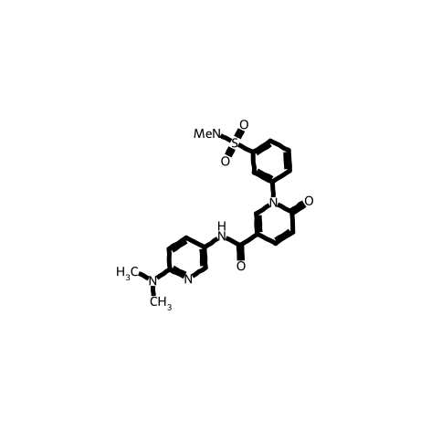 CNS(=O)(=O)c1cccc(-n2cc(C(=O)Nc3ccc(N(C)C)nc3)ccc2=O)c1